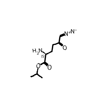 CC(C)OC(=O)[C@@H](N)CCC(=O)C=[N+]=[N-]